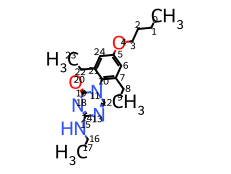 CCCCOc1cc(CC)c(-n2cnc(NCC)nc2=O)c(CC)c1